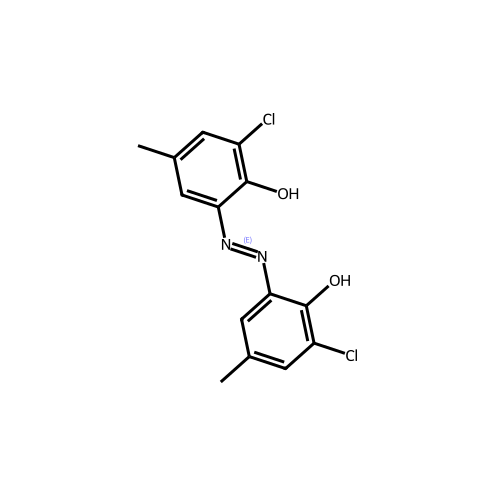 Cc1cc(Cl)c(O)c(/N=N/c2cc(C)cc(Cl)c2O)c1